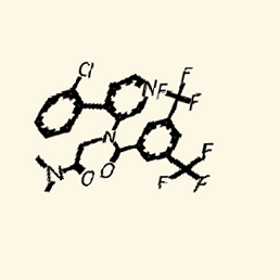 CN(C)C(=O)CN(C(=O)c1cc(C(F)(F)F)cc(C(F)(F)F)c1)c1cnccc1-c1ccccc1Cl